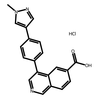 Cl.Cn1cc(-c2ccc(-c3cncc4ccc(C(=O)O)cc34)cc2)cn1